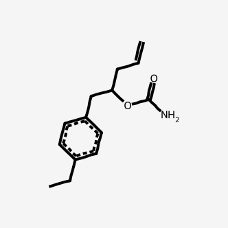 C=CCC(Cc1ccc(CC)cc1)OC(N)=O